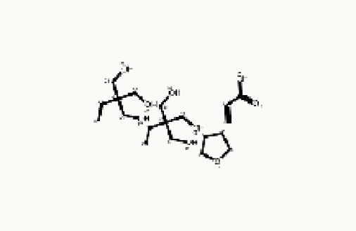 C1CCOC1.C=CC(=O)O.CCC(CO)(CO)CO.CCC(CO)(CO)CO